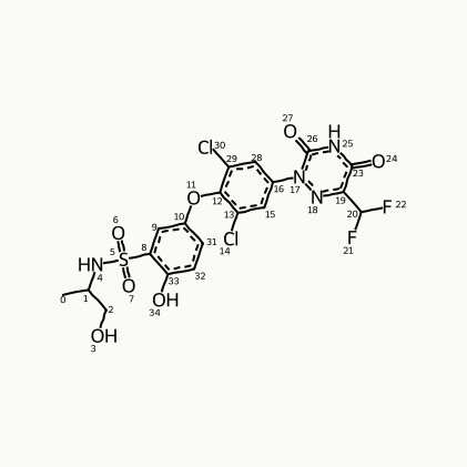 CC(CO)NS(=O)(=O)c1cc(Oc2c(Cl)cc(-n3nc(C(F)F)c(=O)[nH]c3=O)cc2Cl)ccc1O